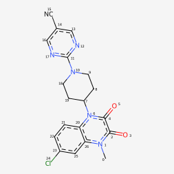 Cn1c(=O)c(=O)n(C2CCN(c3ncc(C#N)cn3)CC2)c2ccc(Cl)cc21